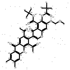 COCOc1cc2occ(-c3c(C(C)=O)cc4c(=O)c5cc(C)c(C)cc5oc4c3C(C)=O)c(=O)c2c(C(=O)OC(C)(C)C)c1OC(=O)C(C)(C)C